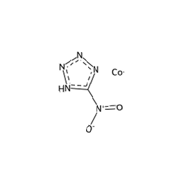 O=[N+]([O-])c1nnn[nH]1.[Co]